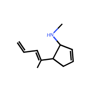 C=C/C=C(\C)C1CC=CC1NC